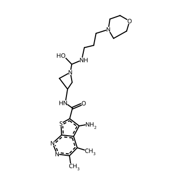 Cc1nnc2sc(C(=O)NC3CN(C(O)NCCCN4CCOCC4)C3)c(N)c2c1C